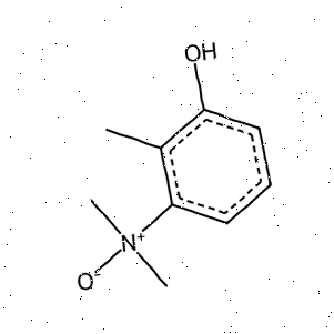 Cc1c(O)cccc1[N+](C)(C)[O-]